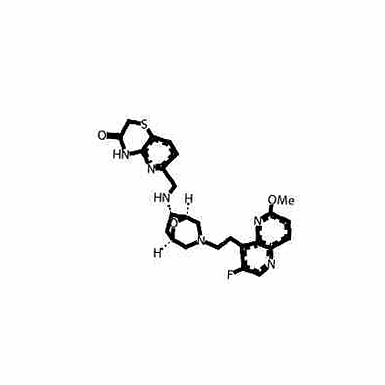 COc1ccc2ncc(F)c(CCN3C[C@H]4C[C@H](NCc5ccc6c(n5)NC(=O)CS6)[C@@H](C3)O4)c2n1